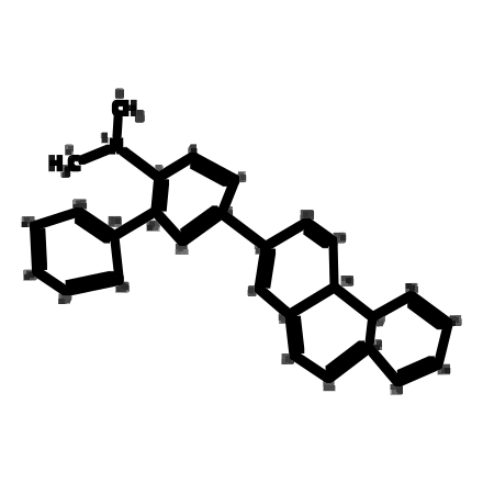 CN(C)c1ccc(C2=CC3=CC=C4C=CC=CC4C3C=C2)cc1-c1ccccc1